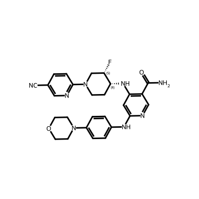 N#Cc1ccc(N2CC[C@@H](Nc3cc(Nc4ccc(N5CCOCC5)cc4)ncc3C(N)=O)[C@@H](F)C2)nc1